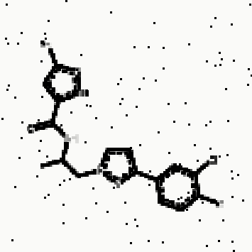 CC(=O)c1cc(C(=O)NC(C)Cn2ccc(-c3ccc(Cl)c(Cl)c3)n2)[nH]n1